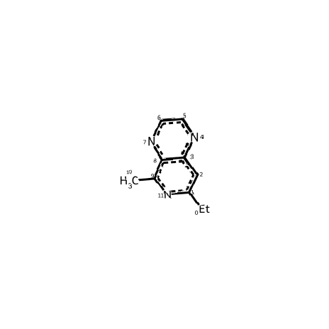 CCc1cc2nccnc2c(C)n1